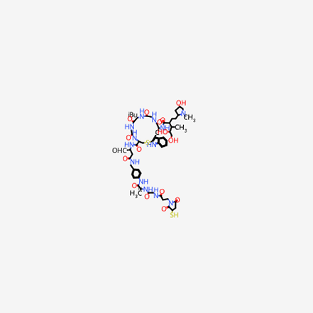 CCC(C)C1NC(=O)CNC(=O)C(NC(=O)C(CCC2CC(O)CN2C)C(C)C(O)CO)Cc2c([nH]c3ccccc23)SCC(C(=O)NC(C=O)CC(=O)NCc2ccc(NC(=O)[C@H](C)NC(=O)CNC(=O)CCN3C(=O)CC(S)C3=O)cc2)NC(=O)CNC1=O